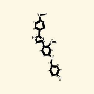 COc1ccc(-c2nc(-c3ccc(OCc4ccc(Cl)cc4)cc3OC)c[nH]2)cc1